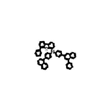 c1ccc(-c2cc(-c3ccc(N(c4ccc(-c5cccc6ccccc56)cc4)c4cccc5c4sc4c(-c6ccccc6)cccc45)cc3)cc3ccccc23)cc1